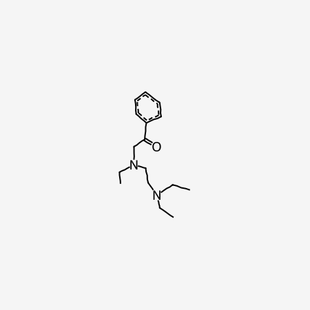 CCN(CC)CCN(CC)CC(=O)c1ccccc1